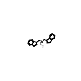 C1=CC(C[SiH2]CC2C=Cc3ccccc32)c2ccccc21